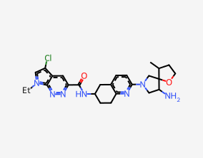 CCn1cc(Cl)c2cc(C(=O)NC3CCc4nc(N5CC(N)C6(C5)OCCC6C)ccc4C3)nnc21